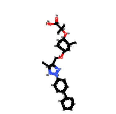 Cc1cc(OCc2nn(-c3ccc(-c4ccccc4)cc3)nc2C)ccc1OC(C)(C)C(=O)O